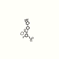 COC(=O)/C=C/c1cc(F)cc(N(Cc2ccc(-c3ccc4c(cnn4C)c3)cc2)C(=O)C2CCCCC2)c1